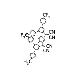 Cc1ccc(-c2cc3c(c(-c4ccc(C(F)(F)F)cc4)c2)-c2cc4c(cc2C3=C(C#N)C#N)C(=C(C#N)C#N)c2cc(-c3ccc(C(F)(F)F)cc3)cc(-c3ccc(C(F)(F)F)cc3)c2-4)cc1